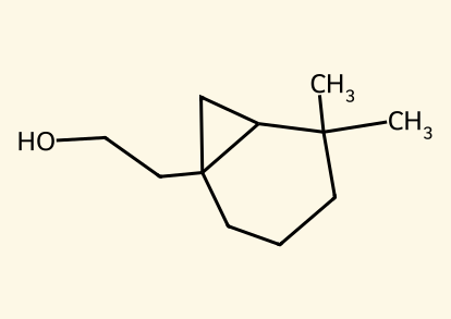 CC1(C)CCCC2(CCO)CC12